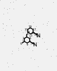 CC1CC(C)CC(C#N)C1.N#CC1CCCCC1